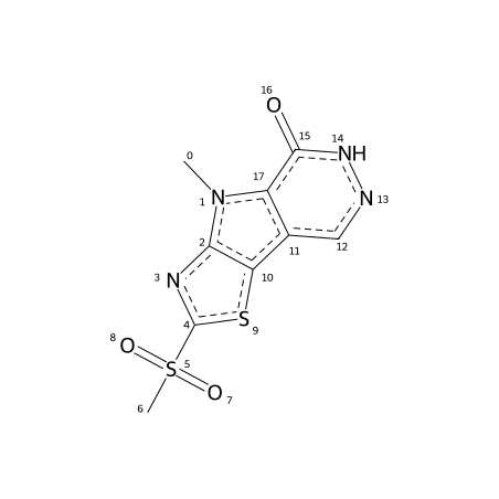 Cn1c2nc(S(C)(=O)=O)sc2c2cn[nH]c(=O)c21